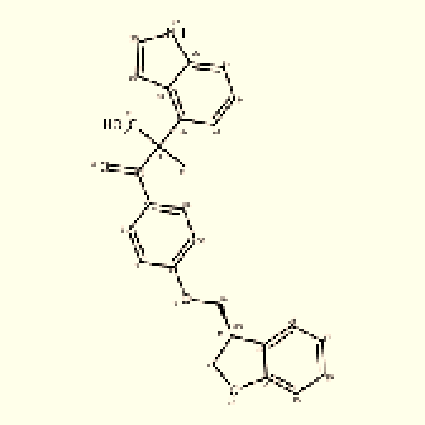 CC(C(=O)O)(C(=O)c1ccc(OC[C@@H]2COc3ccccc32)cc1)c1cccc2[nH]ccc12